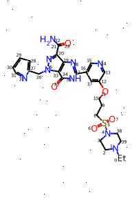 CCN1CCN(S(=O)(=O)CCCOc2cncc(-c3nc4c(C(N)=O)nn(Cc5ccccn5)c4c(=O)[nH]3)c2)CC1